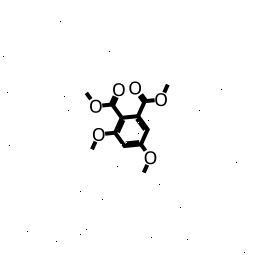 COC(=O)c1cc(OC)cc(OC)c1C(=O)OC